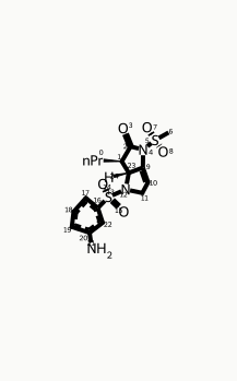 CCC[C@H]1C(=O)N(S(C)(=O)=O)C2=CCN(S(=O)(=O)c3cccc(N)c3)[C@@H]21